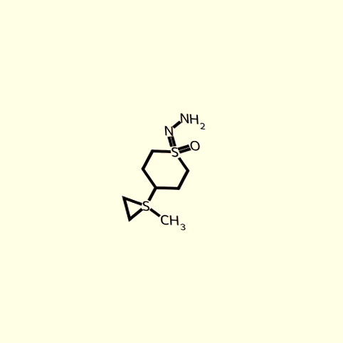 CS1(C2CCS(=O)(=NN)CC2)CC1